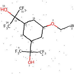 CCC(C)COC1CC(C(O)(C(F)(F)F)C(F)(F)F)CC(C(O)(C(F)(F)F)C(F)(F)F)C1